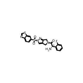 N[C@H](C(=O)N1Cc2cn(S(=O)(=O)c3ccc4ncsc4c3)nc2C1)c1ccccc1F